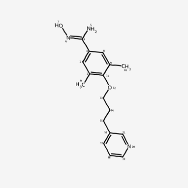 Cc1cc(C(N)=NO)cc(C)c1OCCCc1cccnc1